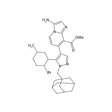 COC(=O)c1c(-c2cnn(CC34CC5CC(CC(C5)C3)C4)c2C2CC(C)CCC2C(C)C)ccn2c(N)cnc12